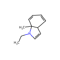 CCN1C=CC2C=CC=CC21C